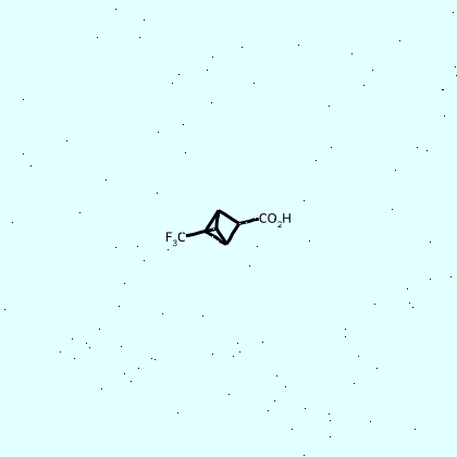 O=C(O)C1C2CC1C2C(F)(F)F